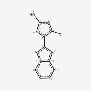 Cc1nc(O)sc1-c1cn2cccnc2n1